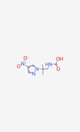 CC(C)(CNC(=O)O)n1cc([N+](=O)[O-])cn1